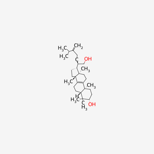 C=C(CC[C@@H](CO)[C@H]1CC[C@@]2(C)C3=C(CC[C@]12C)[C@@]1(C)CC[C@H](O)C(C)(C)[C@@H]1CC3)C(C)C